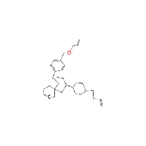 C=CCCC1CCC(C(CC)CC2(CCc3ccc(COCC=C)cc3)CCCCC2)CC1